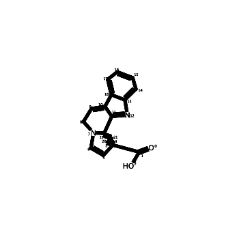 O=C(O)C1=C2C=CN3CC=C4C(=Nc5ccccc54)C23C=C1